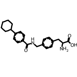 NC(Cc1ccc(CNC(=O)c2ccc(C3CCCCC3)cc2)cc1)C(=O)O